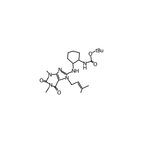 CC(C)=CCn1c(NC2CCCCC2NC(=O)OC(C)(C)C)nc2c1c(=O)n(C)c(=O)n2C